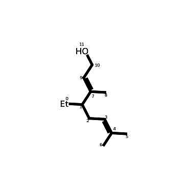 CCC(CC=C(C)C)C(C)=CCO